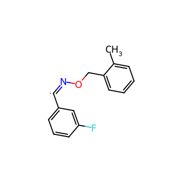 Cc1ccccc1CO/N=[C]\c1cccc(F)c1